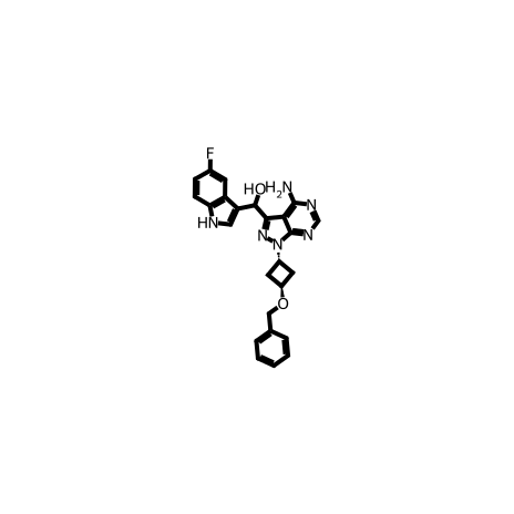 Nc1ncnc2c1c(C(O)c1c[nH]c3ccc(F)cc13)nn2[C@H]1C[C@H](OCc2ccccc2)C1